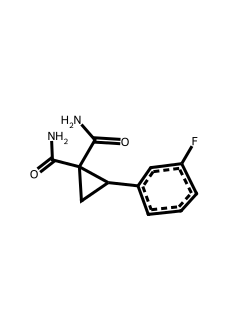 NC(=O)C1(C(N)=O)CC1c1cccc(F)c1